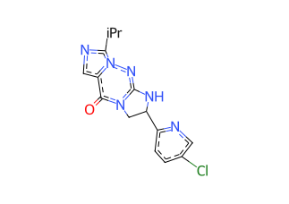 CC(C)c1ncc2c(=O)n3c(nn12)NC(c1ccc(Cl)cn1)C3